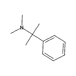 CN(C)C(C)(C)c1ccccc1